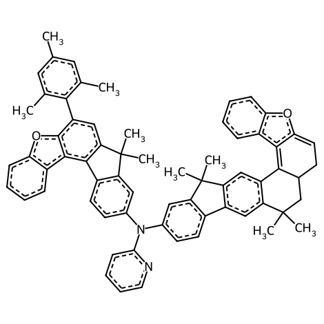 Cc1cc(C)c(-c2cc3c(c4c2oc2ccccc24)-c2ccc(N(c4ccc5c(c4)C(C)(C)c4cc6c(cc4-5)C(C)(C)CC4CC=c5oc7ccccc7c5=C64)c4ccccn4)cc2C3(C)C)c(C)c1